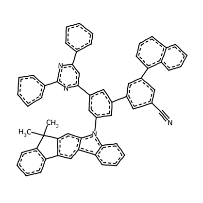 CC1(C)c2ccccc2-c2cc3c4ccccc4n(-c4cc(-c5cc(C#N)cc(-c6cccc7ccccc67)c5)cc(-c5cc(-c6ccccc6)nc(-c6ccccc6)n5)c4)c3cc21